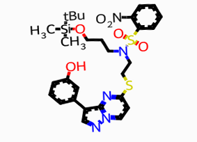 CC(C)(C)[Si](C)(C)OCCCN(CCSc1ccn2ncc(-c3cccc(O)c3)c2n1)S(=O)(=O)c1ccccc1[N+](=O)[O-]